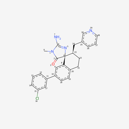 CN1C(=O)[C@@]2(N=C1N)c1cc(-c3cccc(Cl)c3)ccc1CC[C@@H]2Cc1cccnc1